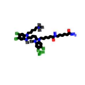 Br.CCN1/C(=C/C=C\C2N(CC)c3cc(Cl)c(Cl)cc3N2CCCCCC(=O)NCCCCCC(N)=O)N(CCCCC[N+](CC)(CC)CC)c2cc(Cl)c(Cl)cc21.[Br-]